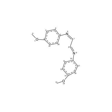 COc1ccc(/N=C\C=N\c2ccc(OC)cc2)cc1